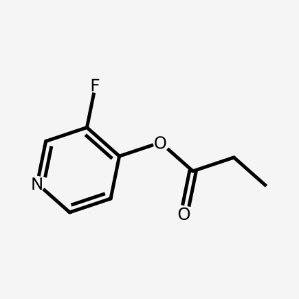 CCC(=O)Oc1ccncc1F